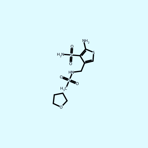 C1CCOC1.CS(=O)(=O)NCc1csc(N)c1S(N)(=O)=O